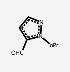 CCCn1nccc1C=O